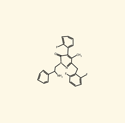 Cc1c(Cc2c(F)cccc2F)nn(CC(N)c2ccccc2)c(=O)c1-c1ccccc1F